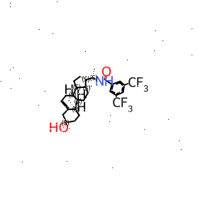 C[C@H](NC(=O)c1cc(C(F)(F)F)cc(C(F)(F)F)c1)[C@H]1CC[C@H]2[C@@H]3CC=C4C[C@@H](O)CC[C@]4(C)[C@H]3CC[C@]12C